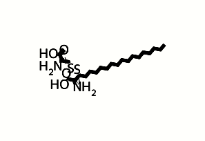 CCCCCCCCCCCCCCCCC(SSC[C@H](N)C(=O)O)[C@H](N)C(=O)O